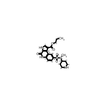 CCCOC(=O)c1c[nH]c2c(=O)[nH]c3ccc(S(=O)(=O)N(C)C4CCNCC4)cc3c12